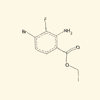 CCOC(=O)c1ccc(Br)c(F)c1N